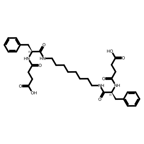 O=C(O)CCC(=O)N[C@@H](Cc1ccccc1)C(=O)NCCCCCCCCNC(=O)[C@H](Cc1ccccc1)NC(=O)CCC(=O)O